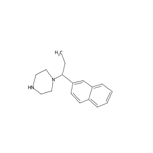 CCC(c1ccc2ccccc2c1)N1CCNCC1